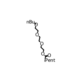 CCCCOCCOCCOCCOC(=O)C(C)CCC